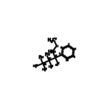 CCNC(F)(c1ccccc1)C(F)(F)C(F)(F)F